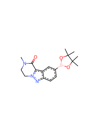 CN1CCn2nc3ccc(B4OC(C)(C)C(C)(C)O4)cc3c2C1=O